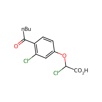 CCCCC(=O)c1ccc(OC(Cl)C(=O)O)cc1Cl